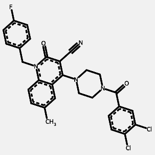 Cc1ccc2c(c1)c(N1CCN(C(=O)c3ccc(Cl)c(Cl)c3)CC1)c(C#N)c(=O)n2Cc1ccc(F)cc1